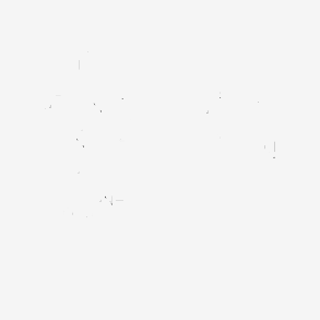 C=CC(=O)Nc1cnc2c(c1)c(C#Cc1ccc(Cl)s1)cn2C(F)F